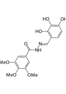 COc1cc(C(=O)NN=Cc2ccc(O)c(O)c2O)cc(OC)c1OC